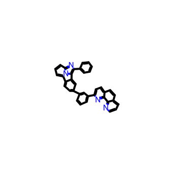 c1ccc(-c2nc3cccc4c5ccc(-c6cccc(-c7ccc8ccc9cccnc9c8n7)c6)cc5c2n34)cc1